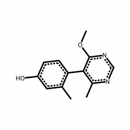 COc1ncnc(C)c1-c1ccc(O)cc1C